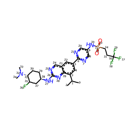 CC(C)c1cc(-c2ncc(NS(=O)(=O)CCC(F)(F)F)cn2)cc2cnc(N[C@@H]3CC[C@@H](N(C)C)C(F)C3)nc12